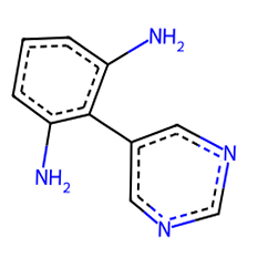 Nc1cccc(N)c1-c1cncnc1